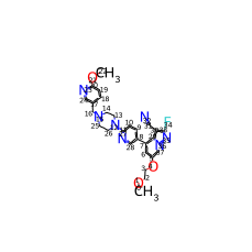 COCCOc1cc(-c2ccc(N3CCN(Cc4ccc(OC)nc4)CC3)nc2)c2c(C#N)c(F)nn2c1